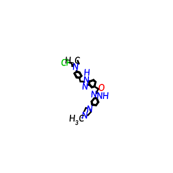 CCN(CCCl)c1ccc(Cc2nc3cc(C(=O)c4nc5cc(N6CCN(C)CC6)ccc5[nH]4)ccc3[nH]2)cc1